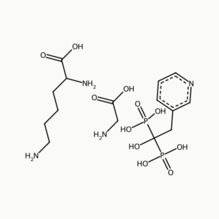 NCC(=O)O.NCCCCC(N)C(=O)O.O=P(O)(O)C(O)(Cc1cccnc1)P(=O)(O)O